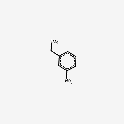 CSCc1cccc([N+](=O)[O-])c1